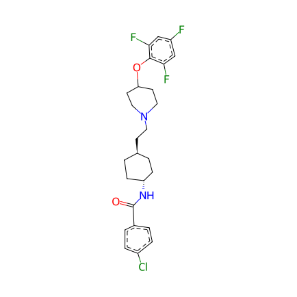 O=C(N[C@H]1CC[C@H](CCN2CCC(Oc3c(F)cc(F)cc3F)CC2)CC1)c1ccc(Cl)cc1